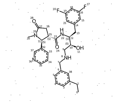 CCc1cccc(CNC[C@H](O)[C@H](Cc2cc(F)cc(F)c2)NC(=O)[C@H]2CC(=O)N(C)[C@@H]2c2cccnc2)c1